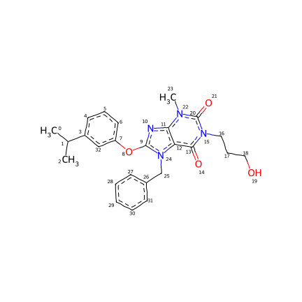 CC(C)c1cccc(Oc2nc3c(c(=O)n(CCCO)c(=O)n3C)n2Cc2ccccc2)c1